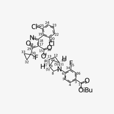 CC(C)COC(=O)c1ccc(N2C[C@@H]3C[C@H]2C[C@H]3OC(=O)c2c(-c3c(Cl)cccc3Cl)noc2C2(F)CC2)c(F)c1